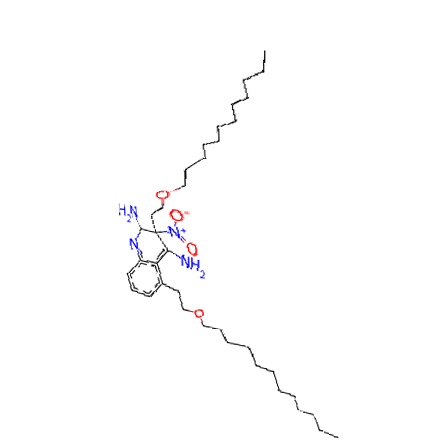 CCCCCCCCCCCCOCCc1cccc2c1=C(N)C(CCOCCCCCCCCCCCC)([N+](=O)[O-])C(N)N=2